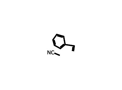 C=Cc1ccccc1.CC#N